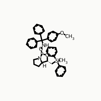 COc1ccc(C(NOP2O[C@H](C[Si](C)(c3ccccc3)c3ccccc3)[C@@H]3CCCN32)(c2ccccc2)c2ccccc2)cc1